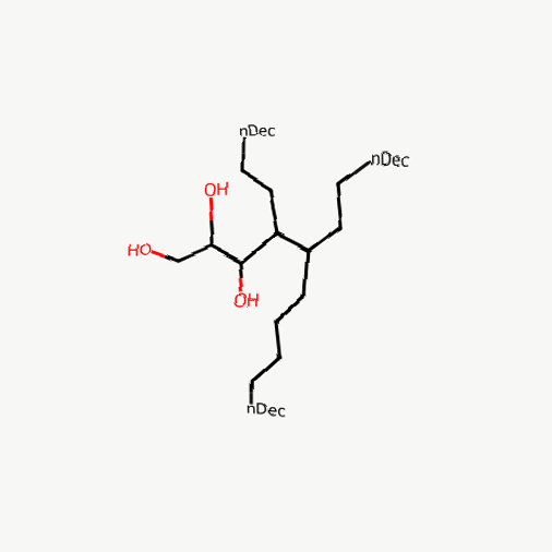 CCCCCCCCCCCCCCC(CCCCCCCCCCCC)C(CCCCCCCCCCCC)C(O)C(O)CO